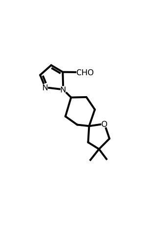 CC1(C)COC2(CCC(n3nccc3C=O)CC2)C1